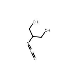 O=C=NC(CO)CO